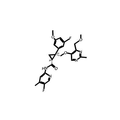 COCc1nc(C)ncc1OC[C@@]1(c2cc(F)cc(OC)c2)C[C@H]1C(=O)Nc1cc(C)c(F)cn1